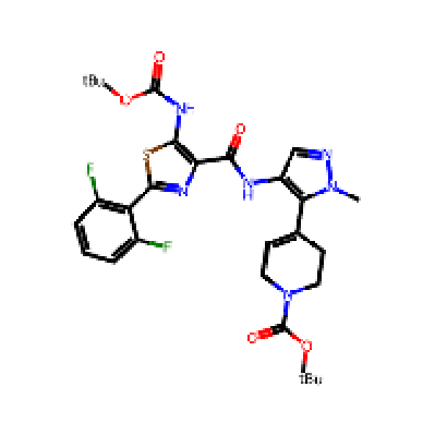 Cn1ncc(NC(=O)c2nc(-c3c(F)cccc3F)sc2NC(=O)OC(C)(C)C)c1C1=CCN(C(=O)OC(C)(C)C)CC1